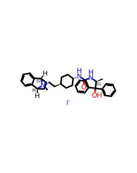 C[C@H](NC(=O)N[C@H]1CC[C@H](CC[N+]2(C)[C@@H]3CC[C@H]2c2ccccc23)CC1)C(O)(c1ccccc1)c1ccccc1.[I-]